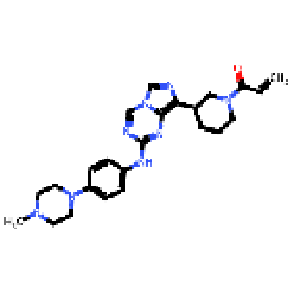 C=CC(=O)N1CCCC(c2ncn3cnc(Nc4ccc(N5CCN(C)CC5)cc4)nc23)C1